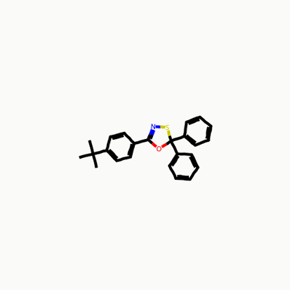 CC(C)(C)c1ccc(C2=NSC(c3ccccc3)(c3ccccc3)O2)cc1